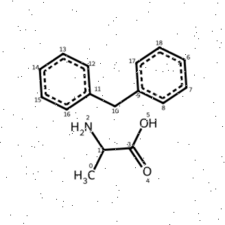 CC(N)C(=O)O.c1ccc(Cc2ccccc2)cc1